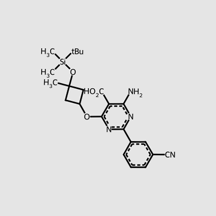 CC1(O[Si](C)(C)C(C)(C)C)CC(Oc2nc(-c3cccc(C#N)c3)nc(N)c2C(=O)O)C1